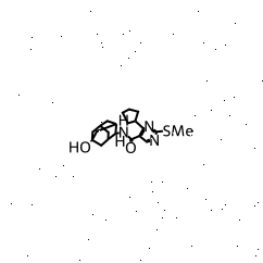 CSc1ncc(C(=O)N[C@H]2C3CC4CC2C[C@@](O)(C4)C3)c(C2CCCC2)n1